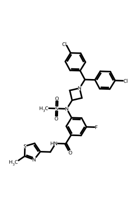 Cc1nc(CNC(=O)c2cc(F)cc(N(C3CN(C(c4ccc(Cl)cc4)c4ccc(Cl)cc4)C3)S(C)(=O)=O)c2)cs1